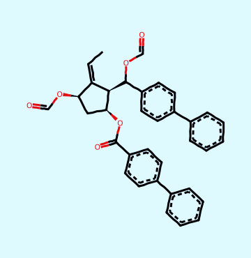 CC=C1[C@H](OC=O)C[C@H](OC(=O)c2ccc(-c3ccccc3)cc2)[C@@H]1C(OC=O)c1ccc(-c2ccccc2)cc1